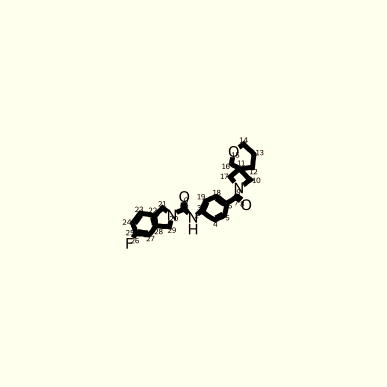 O=C(Nc1ccc(C(=O)N2CC3(CCCOC3)C2)cc1)N1Cc2ccc(F)cc2C1